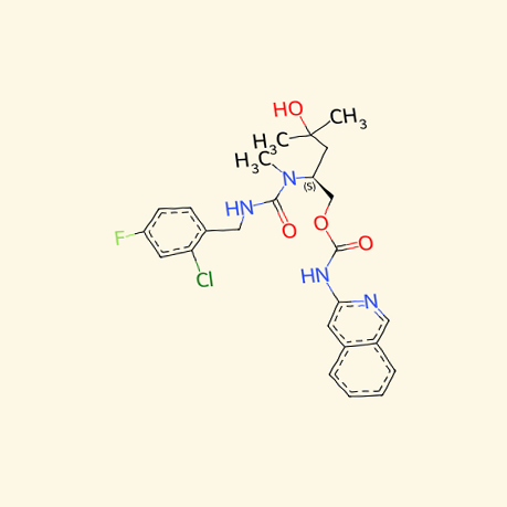 CN(C(=O)NCc1ccc(F)cc1Cl)[C@H](COC(=O)Nc1cc2ccccc2cn1)CC(C)(C)O